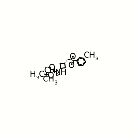 Cc1cccc(S(=O)(=O)C[C@H]2C[C@H](NC(=O)OC(C)(C)C)C2)c1